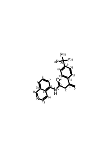 C=C(CC(=O)Nc1cccc2cnccc12)c1ccc(C(F)(F)F)cc1